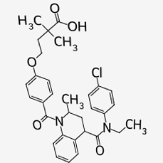 CCN(C(=O)C1CC(C)N(C(=O)c2ccc(OCCC(C)(C)C(=O)O)cc2)c2ccccc21)c1ccc(Cl)cc1